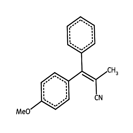 COc1ccc(/C(=C(/C)C#N)c2ccccc2)cc1